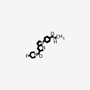 CNC(=O)c1ccc(-n2ccc3cc(C(=O)N4CCC(F)CC4)cnc32)cc1